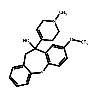 CN1CC=C(C2(O)Cc3ccccc3Sc3ccc(OC(F)(F)F)cc32)CC1